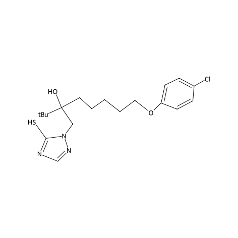 CC(C)(C)C(O)(CCCCCOc1ccc(Cl)cc1)Cn1ncnc1S